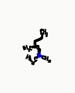 CC[CH2][In]([CH3])[CH2]N(C)C